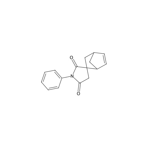 O=C1CC2(CC3C=CC2C3)C(=O)N1c1ccccc1